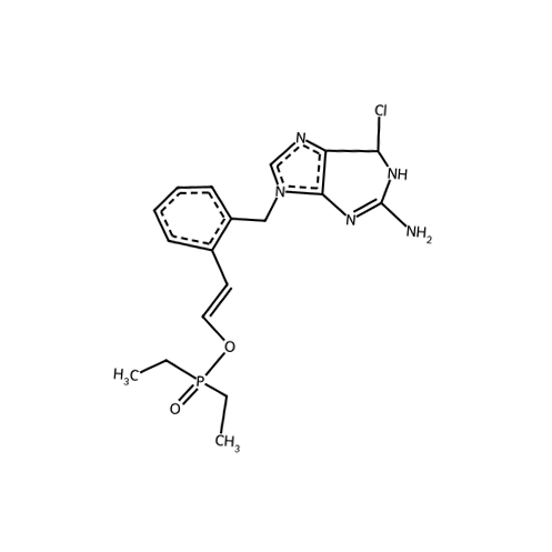 CCP(=O)(CC)OC=Cc1ccccc1Cn1cnc2c1N=C(N)NC2Cl